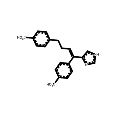 O=C(O)c1ccc(CC/C=C(\c2ccc(C(=O)O)cc2)c2c[nH]cn2)cc1